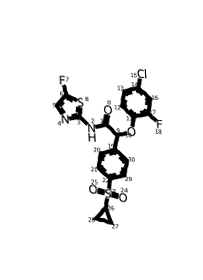 O=C(Nc1ncc(F)s1)C(Oc1ccc(Cl)cc1F)c1ccc(S(=O)(=O)C2CC2)cc1